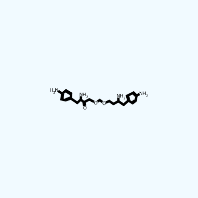 Nc1ccc(CC(N)CCOCOCC(=O)C(N)Cc2ccc(N)cc2)cc1